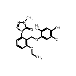 CCOc1cccc(-n2nnn(C)c2=O)c1COc1cc(Cl)c(O)cc1C